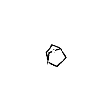 C1CP2CCC1CC2